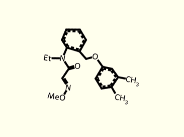 CCN(C(=O)C=NOC)c1ccccc1COc1ccc(C)c(C)c1